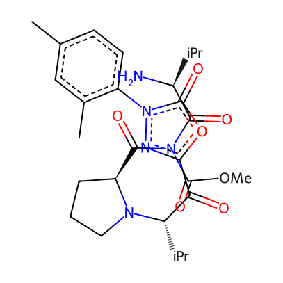 COC(=O)N(C(=O)[C@@H](N)C(C)C)C(=O)[C@@H]1CCCN1[C@H](C(=O)c1nn(-c2ccc(C)cc2C)c(=O)o1)C(C)C